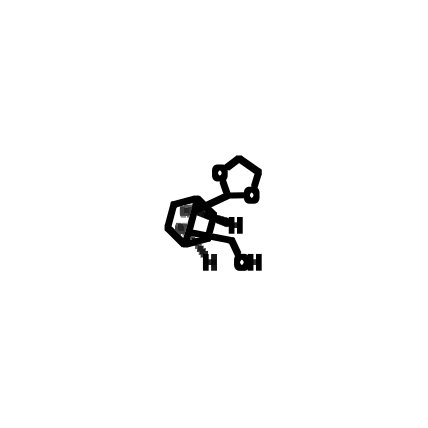 OC[C@H]1C2CCC(CC2)[C@@H]1C1OCCO1